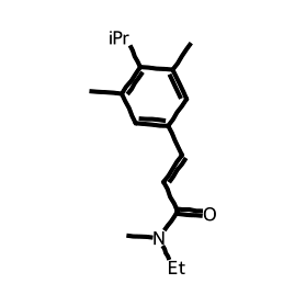 CCN(C)C(=O)/C=C/c1cc(C)c(C(C)C)c(C)c1